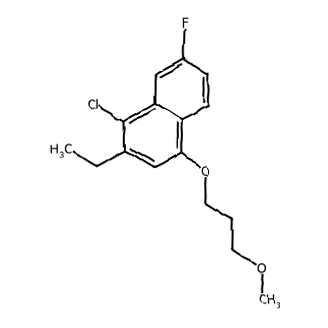 CCc1cc(OCCCOC)c2ccc(F)cc2c1Cl